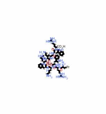 CC(C)C[C@H](N)C(=O)N[C@@H](CCCNC(=N)N)C(=O)N[C@@H](Cc1c[nH]c2ccccc12)C(=O)N[C@@H](CCCCN)C(=O)N[C@@H](Cc1ccccc1)C(=O)N[C@@H](Cc1c[nH]cn1)C(=O)N[C@H](C(=O)N[C@@H](CCCCN)C(=O)N[C@@H](Cc1c[nH]c2ccccc12)C(=O)N[C@@H](CCCNC(=N)N)C(=O)O)C(C)C